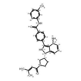 CC(C)=CC(=O)N1CC[C@@H](N2NC(c3ccc(C(=O)Nc4cc(C)ccn4)cc3)=C3C2=CN=CN3N)C1